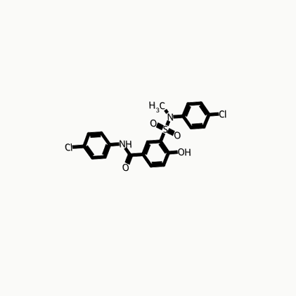 CN(c1ccc(Cl)cc1)S(=O)(=O)c1cc(C(=O)Nc2ccc(Cl)cc2)ccc1O